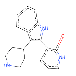 O=c1[nH]cccc1-c1[nH]c2ccccc2c1C1CCNCC1